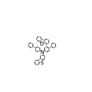 c1ccc(-c2ccc(N(c3ccc(-c4ccccc4)c(-c4cccc5c4oc4ccccc45)c3)c3ccc4sc5ccccc5c4c3)cc2)cc1